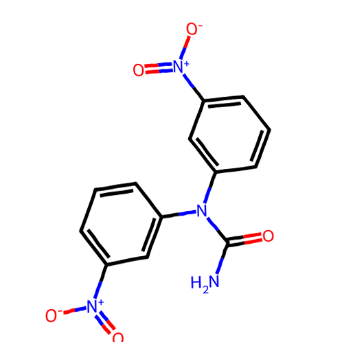 NC(=O)N(c1cccc([N+](=O)[O-])c1)c1cccc([N+](=O)[O-])c1